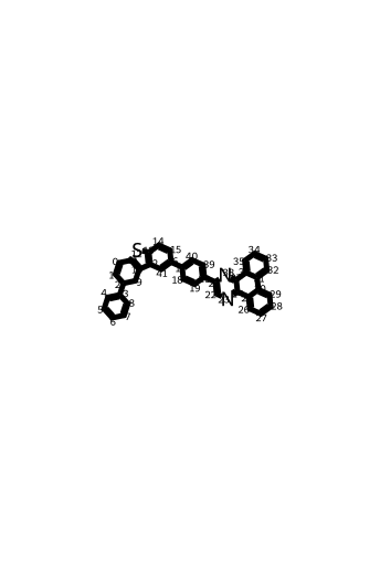 C1=CC(c2ccccc2)Cc2c1sc1ccc(-c3ccc(-c4cnc5c6ccccc6c6ccccc6c5n4)cc3)cc21